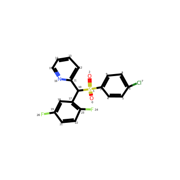 O=S(=O)(c1ccc(Cl)cc1)C(c1cc[c]cn1)c1cc(F)ccc1F